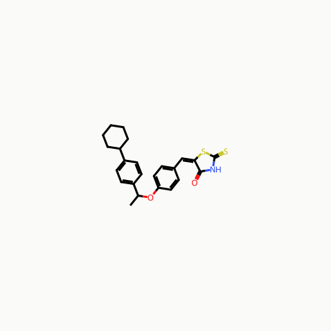 CC(Oc1ccc(/C=C2/SC(=S)NC2=O)cc1)c1ccc(C2CCCCC2)cc1